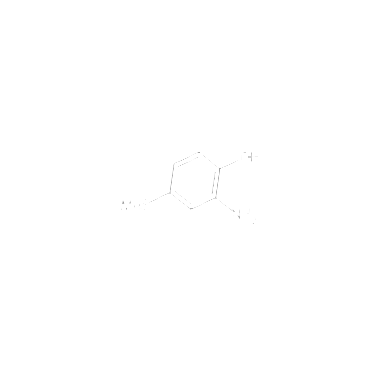 CSc1ccc(O)c(N)c1